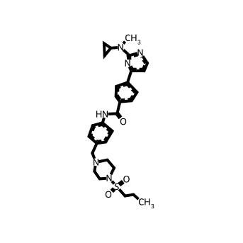 CCCS(=O)(=O)N1CCN(Cc2ccc(NC(=O)c3ccc(-c4ccnc(N(C)C5CC5)n4)cc3)cc2)CC1